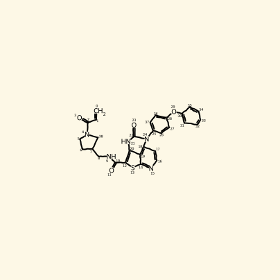 C=CC(=O)N1CCC(CNC(=O)c2sc3nccc4c3c2NC(=O)N4c2ccc(Oc3ccccc3)cc2)C1